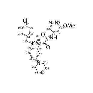 COc1cc(NC(=O)C(=O)c2c(C)n(Cc3ccc(Cl)cc3)c3ccc(N4CCOCC4)cc23)ccn1